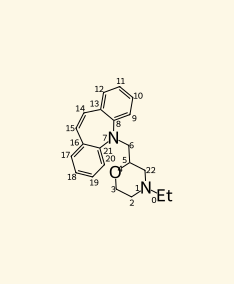 CCN1CCOC(CN2c3ccccc3C=Cc3ccccc32)C1